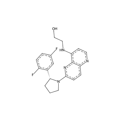 OCCNc1ccnc2ccc(N3CCC[C@@H]3c3cc(F)ccc3F)nc12